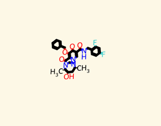 C[C@H]1[C@H](O)C[C@H](C)N2CN1C(=O)c1c(OCc3ccccc3)c(=O)c(C(=O)NCc3ccc(F)cc3F)cn12